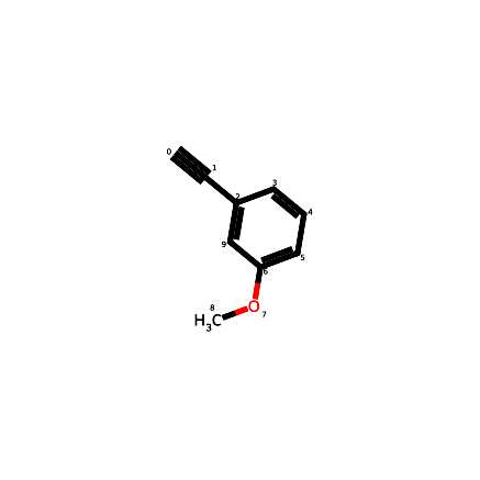 [C]#Cc1cccc(OC)c1